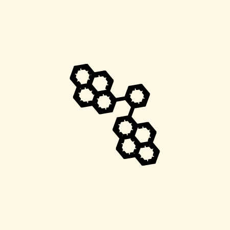 c1ccc(-c2ccc3ccc4cccc5ccc2c3c45)c(-c2ccc3ccc4cccc5ccc2c3c45)c1